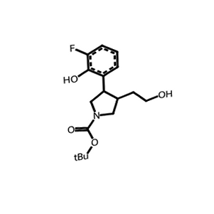 CC(C)(C)OC(=O)N1CC(CCO)C(c2cccc(F)c2O)C1